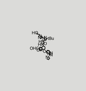 CN1CCC[C@H]1c1nnc2ccc(O[C@@H]3CC[C@H](NC(=O)Nc4cc(C(C)(C)C)nn4-c4cnn(CCO)c4)c4ccccc43)cn12.O=CO